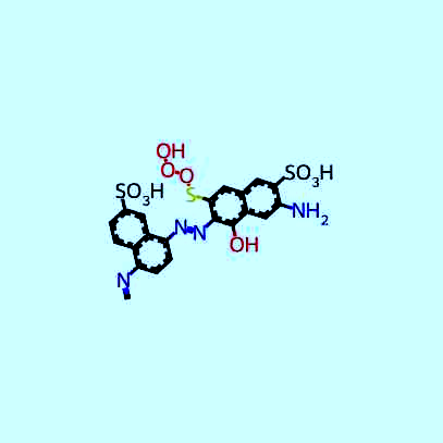 C=Nc1ccc(N=Nc2c(SOOO)cc3cc(S(=O)(=O)O)c(N)cc3c2O)c2cc(S(=O)(=O)O)ccc12